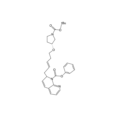 CC(C)(C)OC(=O)N1CC[C@@H](OCC/C=C/CC2C=Cc3cccnc3N2C(=O)Oc2ccccc2)C1